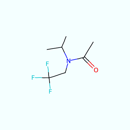 CC(=O)N(CC(F)(F)F)C(C)C